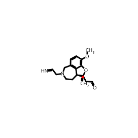 C=C[C@@]12CCN(CC=N)Cc3ccc(OC)c(c31)OC2CC=O